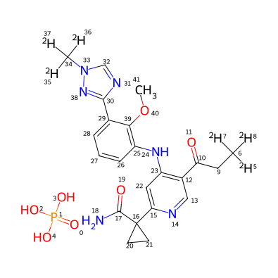 O=P(O)(O)O.[2H]C([2H])([2H])CC(=O)c1cnc(C2(C(N)=O)CC2)cc1Nc1cccc(-c2ncn(C([2H])([2H])[2H])n2)c1OC